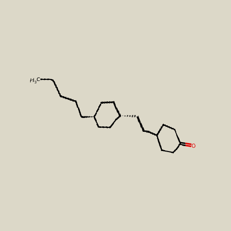 CCCCC[C@H]1CC[C@H](CCC2CCC(=O)CC2)CC1